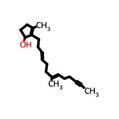 CC#CCCC=C(C)CC/C=C/CCC1=C(C)CCC1O